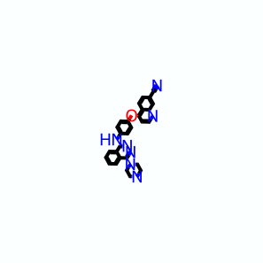 CN1CCN(c2nnc(Nc3ccc(Oc4ccnc5cc(C#N)ccc45)cc3)c3ccccc23)CC1